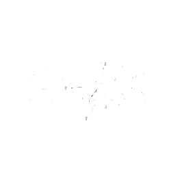 Cc1cccc(C(=O)N[C@H]2CN3C(=N)N[C@@H](CN4C(=O)CCC4=O)[C@@H]4NC(=N)N[C@@]43C2(O)O)c1C